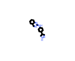 c1ccc2nc(Nc3ccc(-c4cn[nH]c4)cc3)ncc2c1